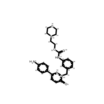 Nc1ccc(-c2ccc(=O)n(Cc3cccc(NC(=O)OCCN4CCOCC4)c3)n2)cc1